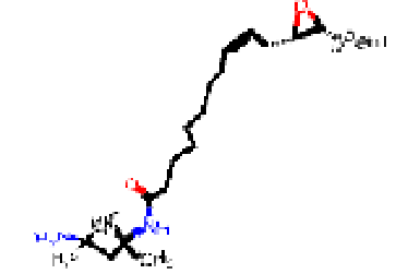 CCCCC[C@H]1O[C@H]1C/C=C\CCCCCCCC(=O)NC(C)(C)CC(C)(C)N